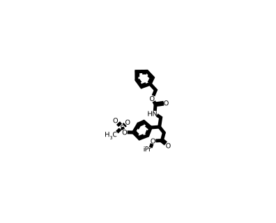 CC(C)OC(=O)CC(CNC(=O)OCc1ccccc1)c1ccc(OS(C)(=O)=O)cc1